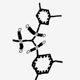 Cc1cc(C)cc(S(=O)(=O)C(S(C)(=O)=O)S(=O)(=O)c2cc(C)cc(C)c2)c1